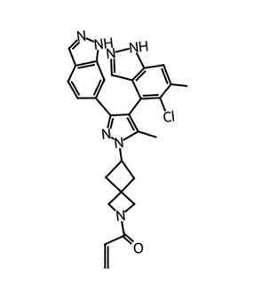 C=CC(=O)N1CC2(CC(n3nc(-c4ccc5cn[nH]c5c4)c(-c4c(Cl)c(C)cc5[nH]ncc45)c3C)C2)C1